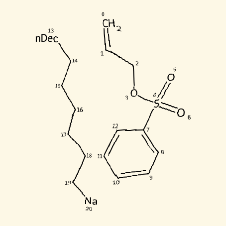 C=CCOS(=O)(=O)c1ccccc1.CCCCCCCCCCCCCCC[CH2][Na]